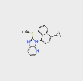 CCCCSc1nc2cccnc2n1-c1ccc(C2CC2)c2ccccc12